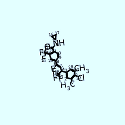 Cc1cc(C(C=C(F)c2ccc(C(=O)NC3CC3)c(C(F)(F)F)c2)C(F)(F)F)cc(C)c1Cl